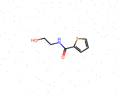 O=C(NCCO)c1cccs1